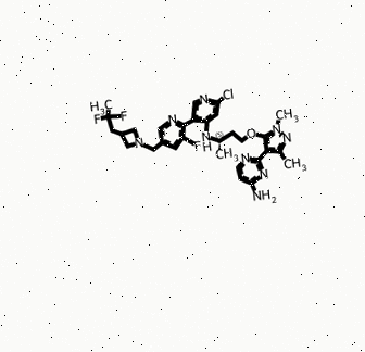 Cc1nn(C)c(OCC[C@H](C)Nc2cc(Cl)ncc2-c2ncc(CN3CC(CC(C)(F)F)C3)cc2F)c1-c1nccc(N)n1